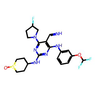 N=Cc1c(Nc2cccc(OC(F)F)c2)nc(NC2CC[S+]([O-])CC2)nc1N1CCC(F)C1